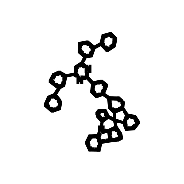 c1ccc(-c2cccc(-c3cc(-c4cccc(-c5ccccc5)c4)nc(-c4ccc(-c5ccc6c(c5)C5(c7ccccc7-6)c6ccccc6-n6c7ccccc7c7cccc5c76)cc4)n3)c2)cc1